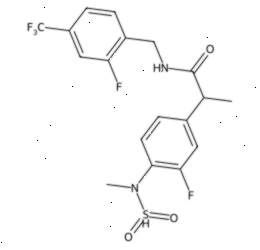 CC(C(=O)NCc1ccc(C(F)(F)F)cc1F)c1ccc(N(C)[SH](=O)=O)c(F)c1